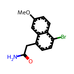 COc1ccc2c(Br)ccc(CC(N)=O)c2c1